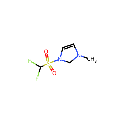 CN1C=CN(S(=O)(=O)C(F)F)C1